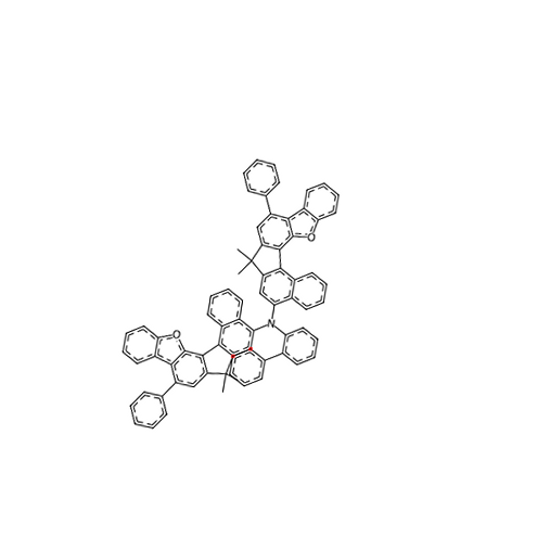 CC1(C)c2cc(N(c3ccccc3-c3ccccc3)c3cc4c(c5ccccc35)-c3c(cc(-c5ccccc5)c5c3oc3ccccc35)C4(C)C)c3ccccc3c2-c2c1cc(-c1ccccc1)c1c2oc2ccccc21